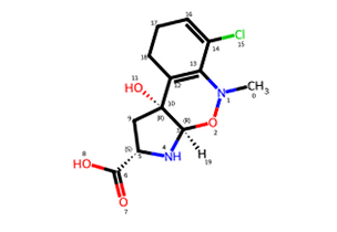 CN1O[C@H]2N[C@H](C(=O)O)C[C@@]2(O)C2=C1C(Cl)=CCC2